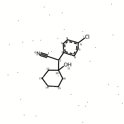 N#CC(c1ccc(Cl)cc1)C1(O)CCCCC1